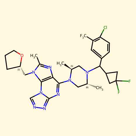 Cc1nc2c(N3C[C@@H](C)N(C(c4ccc(Cl)c(C(F)(F)F)c4)C4CC(F)(F)C4)C[C@@H]3C)nc3nncn3c2n1C[C@@H]1CCCO1